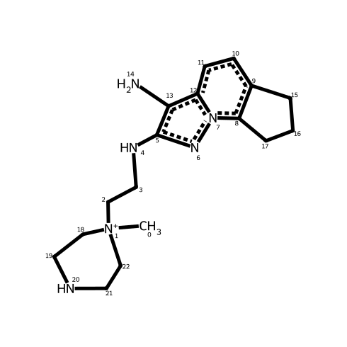 C[N+]1(CCNc2nn3c4c(ccc3c2N)CCC4)CCNCC1